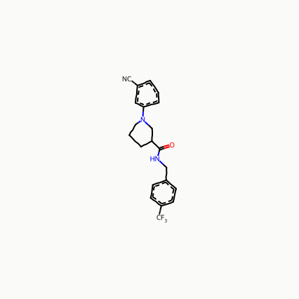 N#Cc1cccc(N2CCCC(C(=O)NCc3ccc(C(F)(F)F)cc3)C2)c1